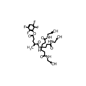 C#CCNC(=O)CCC(CCC(=O)NCC#C)(CCC(=O)NCC#C)NC(=O)C(=C)CCC(=O)Oc1c(F)c(F)cc(F)c1F